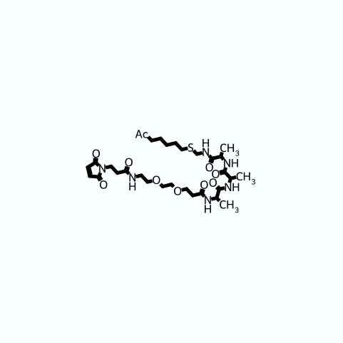 CC(=O)CCCCCSCNC(=O)C(C)NC(=O)C(C)NC(=O)C(C)NC(=O)CCOCCOCCNC(=O)CCN1C(=O)C=CC1=O